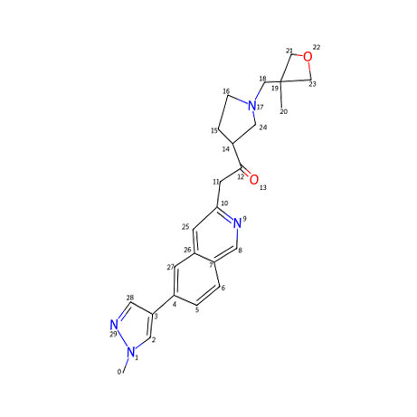 Cn1cc(-c2ccc3cnc(CC(=O)C4CCN(CC5(C)COC5)C4)cc3c2)cn1